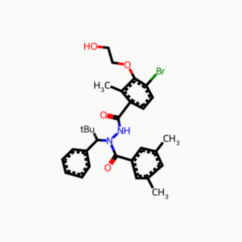 Cc1cc(C)cc(C(=O)N(NC(=O)c2ccc(Br)c(OCCO)c2C)C(c2ccccc2)C(C)(C)C)c1